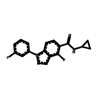 O=C(NC1CC1)c1ccc2c(cnn2-c2cccc(F)c2)c1F